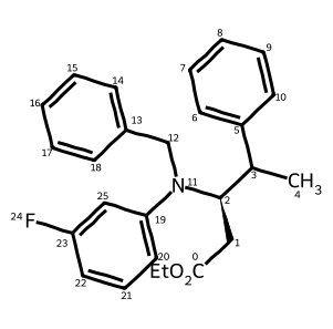 CCOC(=O)C[C@H](C(C)c1ccccc1)N(Cc1ccccc1)c1cccc(F)c1